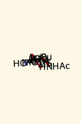 CC[C@H](C)[C@H](NC(=O)N(C)Cc1csc(NC(C)=O)n1)C(=O)N[C@@H](Cc1ccccc1)[C@H](O)CN(CC1CCC1)S(=O)(=O)c1ccc(/C=N/O)cc1